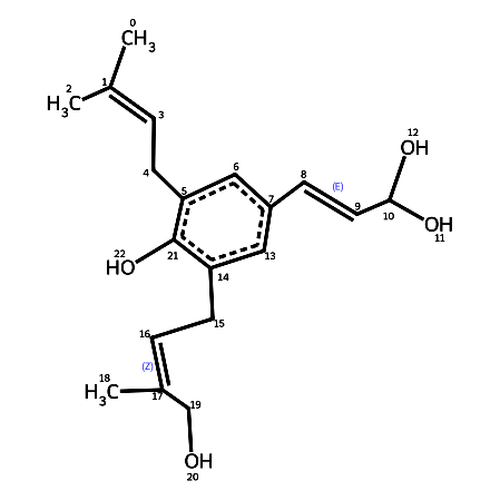 CC(C)=CCc1cc(/C=C/C(O)O)cc(C/C=C(/C)CO)c1O